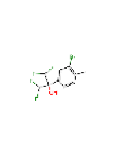 Cc1ccc(C(O)(C(F)F)C(F)F)cc1Br